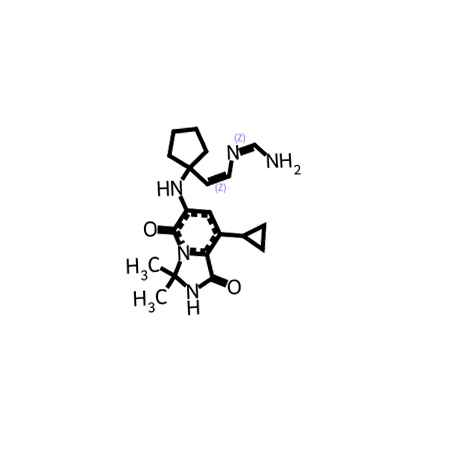 CC1(C)NC(=O)c2c(C3CC3)cc(NC3(/C=C\N=C/N)CCCC3)c(=O)n21